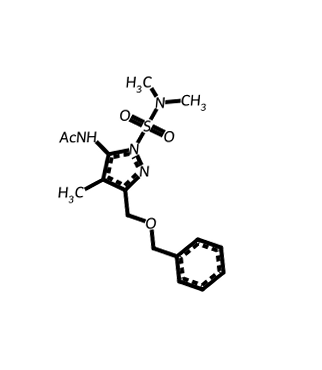 CC(=O)Nc1c(C)c(COCc2ccccc2)nn1S(=O)(=O)N(C)C